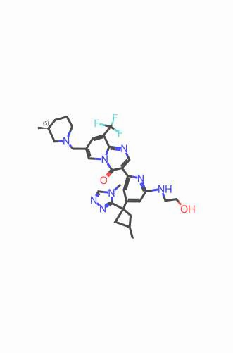 CC1CC(c2cc(NCCO)nc(-c3cnc4c(C(F)(F)F)cc(CN5CCC[C@H](C)C5)cn4c3=O)c2)(c2nncn2C)C1